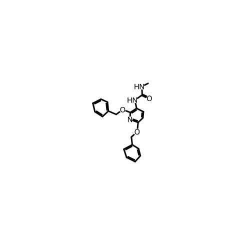 CNC(=O)Nc1ccc(OCc2ccccc2)nc1OCc1ccccc1